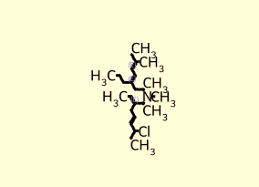 C/C=C(\CC=CC(Cl)CC)C(C)N(C)C(C)C/C(=C/C=C(\C)CC)CCC